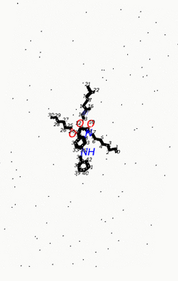 CCCCCCCCn1c(=O)c(OC/C=C(\C)CCC=C(C)C)c(OCCCCCC)c2ccc(NCc3ccccc3)cc21